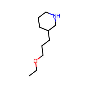 CCOCCCC1CCCNC1